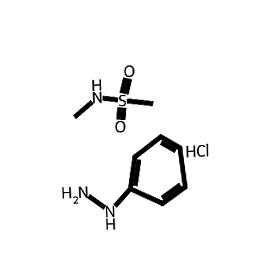 CNS(C)(=O)=O.Cl.NNc1ccccc1